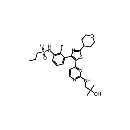 CCCS(=O)(=O)Nc1cccc(-c2nc(C3CCOCC3)sc2-c2ccnc(NCC(C)(C)O)n2)c1F